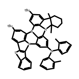 Cc1ccccc1N(c1cc2c3c(c1)-n1c4c(cc(C(C)(C)C)cc4c4sc5ccccc5c41)B3c1cc(C(C)(C)C)cc3c1N2C1(C)CCCCC31C)c1ccccc1C